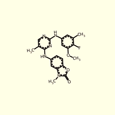 COc1cc(Nc2ncc(C)c(Nc3ccc4oc(=O)n(C)c4c3)n2)cc(C)c1F